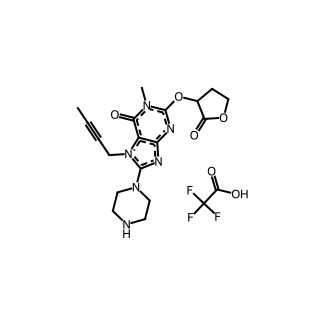 CC#CCn1c(N2CCNCC2)nc2nc(OC3CCOC3=O)n(C)c(=O)c21.O=C(O)C(F)(F)F